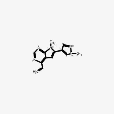 C=Cc1ncnc2c1cc(-c1cnn(C)c1)n2C